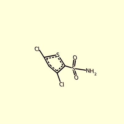 NS(=O)(=O)c1sc(Cl)cc1Cl